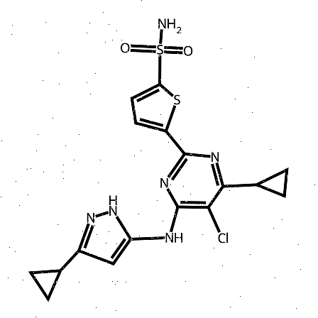 NS(=O)(=O)c1ccc(-c2nc(Nc3cc(C4CC4)n[nH]3)c(Cl)c(C3CC3)n2)s1